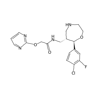 O=C(COc1ncccn1)NC[C@@H]1CNCCO[C@H]1c1ccc(Cl)c(F)c1